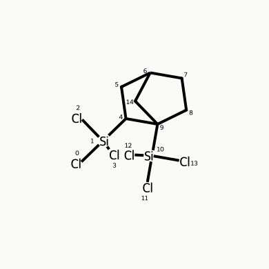 Cl[Si](Cl)(Cl)C1CC2CCC1([Si](Cl)(Cl)Cl)C2